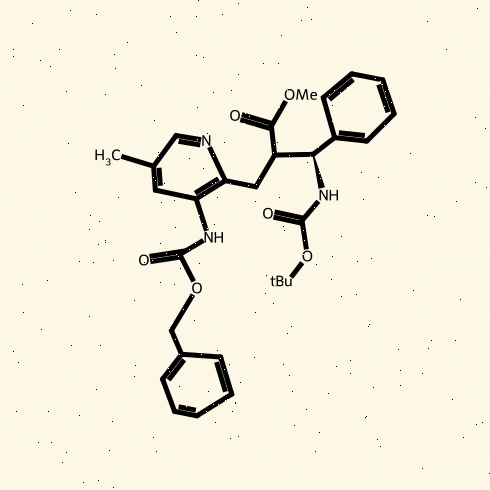 COC(=O)C(Cc1ncc(C)cc1NC(=O)OCc1ccccc1)[C@H](NC(=O)OC(C)(C)C)c1ccccc1